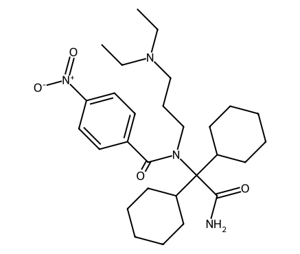 CCN(CC)CCCN(C(=O)c1ccc([N+](=O)[O-])cc1)C(C(N)=O)(C1CCCCC1)C1CCCCC1